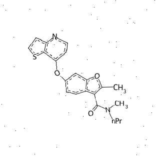 CCCN(C)C(=O)c1c(C)oc2cc(Oc3ccnc4ccsc34)ccc12